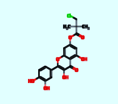 CC(C)(CCl)C(=O)Oc1cc(O)c2c(=O)c(O)c(-c3ccc(O)c(O)c3)oc2c1